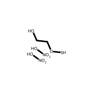 O=[N+]([O-])O.O=[N+]([O-])O.OCCOS